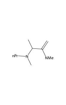 C=C(NC)C(C)N(C)CCC